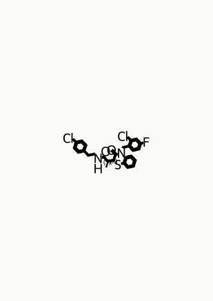 C[C@@H](C(=O)NCCc1ccc(Cl)cc1)[C@H]1Sc2ccccc2N(Cc2ccc(F)cc2Cl)C1=O